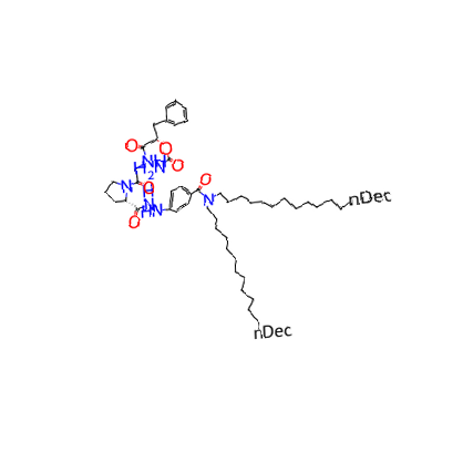 CCCCCCCCCCCCCCCCCCCCCCN(CCCCCCCCCCCCCCCCCCCCCC)C(=O)c1ccc(NNC(=O)[C@@H]2CCCN2C(=O)CNC(=O)C(Cc2ccccc2)OC(N)=O)cc1